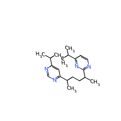 CC(C)c1cc(C(C)CCC(C)c2nccc(C(C)C)n2)ncn1